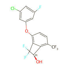 O[C@@H]1c2c(C(F)(F)F)ccc(Oc3cc(F)cc(Cl)c3)c2C1(F)F